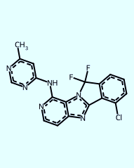 Cc1cc(Nc2nccc3nc4n(c23)C(F)(F)c2cccc(Cl)c2-4)ncn1